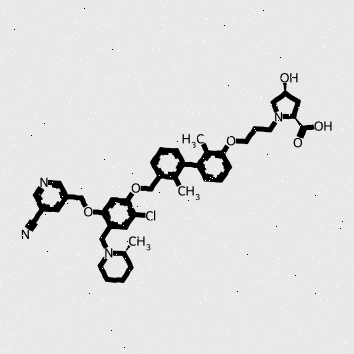 Cc1c(COc2cc(OCc3cncc(C#N)c3)c(CN3CCCC[C@H]3C)cc2Cl)cccc1-c1cccc(OCCCN2C[C@@H](O)C[C@H]2C(=O)O)c1C